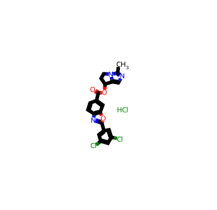 Cc1ncc2n1CCC2OC(=O)c1ccc2nc(-c3cc(Cl)cc(Cl)c3)oc2c1.Cl